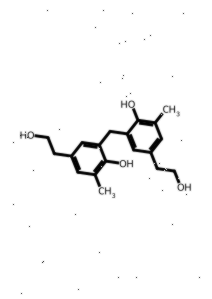 Cc1cc(CCO)cc(Cc2cc(CCO)cc(C)c2O)c1O